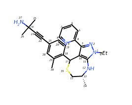 CCn1nc(-c2ccccn2)c2c1N[C@H](C)CSC2c1ccc(C#CC(C)(C)N)cc1C